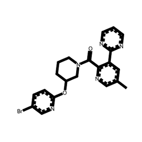 Cc1cnc(C(=O)N2CCCC(Oc3ccc(Br)cn3)C2)c(-c2ncccn2)c1